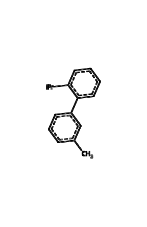 Cc1cccc(-c2ccccc2C(C)C)c1